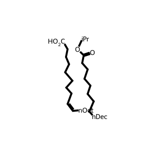 CCCCCCCC/C=C\CCCCCCCC(=O)O.CCCCCCCCCCCCCCCCCC(=O)OC(C)C